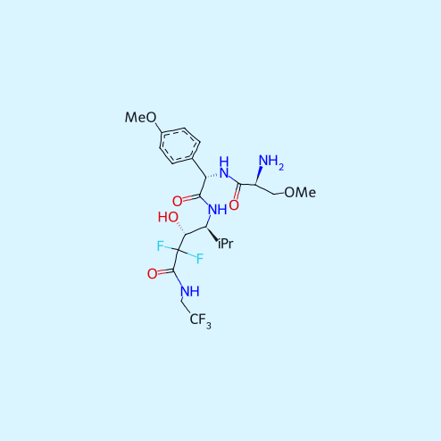 COC[C@H](N)C(=O)N[C@H](C(=O)N[C@@H](C(C)C)[C@@H](O)C(F)(F)C(=O)NCC(F)(F)F)c1ccc(OC)cc1